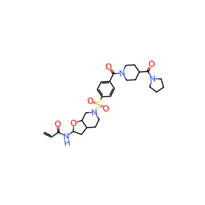 C=CC(=O)NC1CC2CCN(S(=O)(=O)c3ccc(C(=O)N4CCC(C(=O)N5CCCC5)CC4)cc3)CC2O1